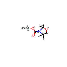 CCC[C@H](C)OC(=O)N1C(C)(C)COC1(C)C